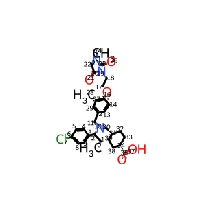 CCC(c1ccc(Cl)cc1)N(Cc1ccc(OCCN2C(=O)CN(C)C2=O)c(C)c1)C[C@H]1CC[C@H](C(=O)O)CC1